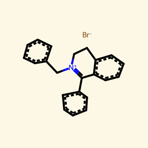 [Br-].c1ccc(C[N+]2=C(c3ccccc3)c3ccccc3CC2)cc1